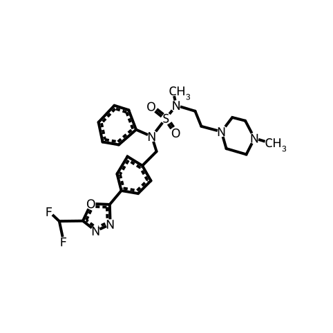 CN1CCN(CCN(C)S(=O)(=O)N(Cc2ccc(-c3nnc(C(F)F)o3)cc2)c2ccccc2)CC1